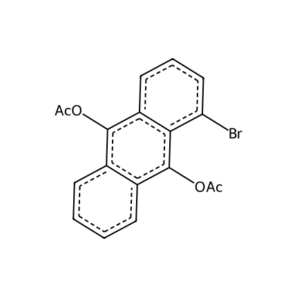 CC(=O)Oc1c2ccccc2c(OC(C)=O)c2c(Br)cccc12